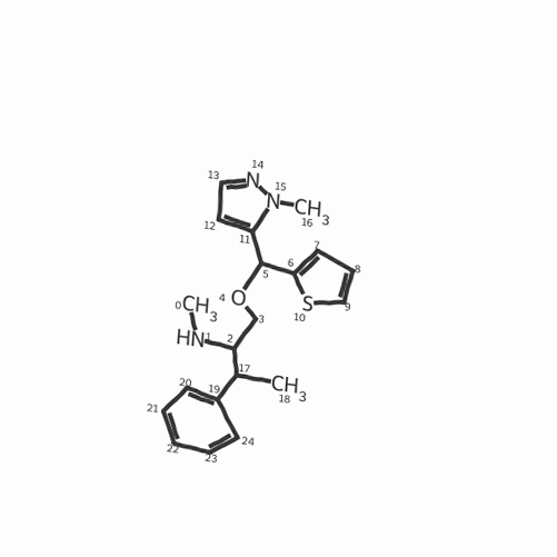 CNC(COC(c1cccs1)c1ccnn1C)C(C)c1ccccc1